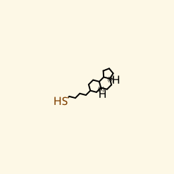 SCCCCC1CCC2C3CCC[C@@H]3CC[C@@H]2C1